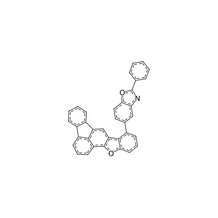 c1ccc(-c2nc3cc(-c4cccc5oc6c7cccc8c7c(cc6c45)-c4ccccc4-8)ccc3o2)cc1